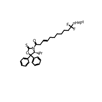 CCCCCCCC(F)(F)CCCCCC/C=C/CC(=O)N1C(=S)OC(c2ccccc2)(c2ccccc2)[C@@H]1C(C)C